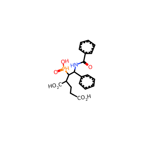 O=C(O)CCC(C(=O)O)C(C(NC(=O)c1ccccc1)c1ccccc1)[PH](=O)O